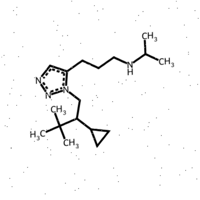 CC(C)NCCCc1cnnn1CC(C1CC1)C(C)(C)C